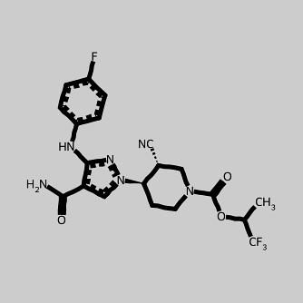 CC(OC(=O)N1CC[C@@H](n2cc(C(N)=O)c(Nc3ccc(F)cc3)n2)[C@H](C#N)C1)C(F)(F)F